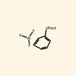 [CH2]CCCCc1ccccc1.[F][Al]([F])[F]